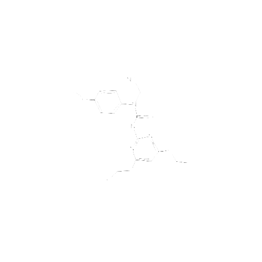 N#CCN(C(=O)Nc1nc(OCC(F)(F)F)cc(OCC(F)(F)F)n1)c1ccc(OC(F)(F)F)cc1